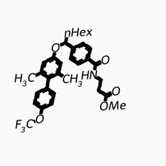 CCCCCCC(Oc1cc(C)c(-c2ccc(OC(F)(F)F)cc2)c(C)c1)c1ccc(C(=O)NCCC(=O)OC)cc1